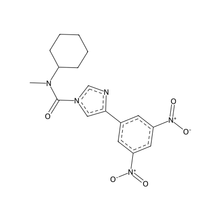 CN(C(=O)n1cnc(-c2cc([N+](=O)[O-])cc([N+](=O)[O-])c2)c1)C1CCCCC1